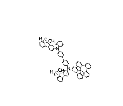 CC1(C)c2ccccc2-c2ccc(N(c3ccc(-c4ccc(N(c5ccc6c(c5)C(C)(C)c5ccccc5-6)C5C=CC=CC5)cc4)cc3)c3ccc(C4(c5ccccc5)c5ccccc5-c5ccccc5-c5ccccc54)cc3)cc21